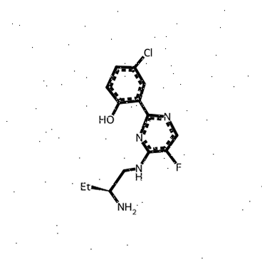 CC[C@H](N)CNc1nc(-c2cc(Cl)ccc2O)ncc1F